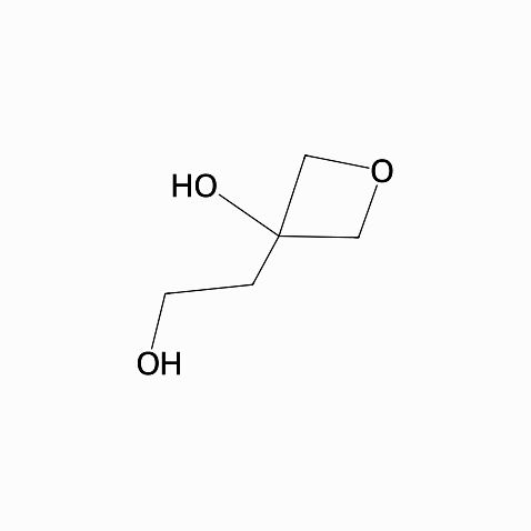 OCCC1(O)COC1